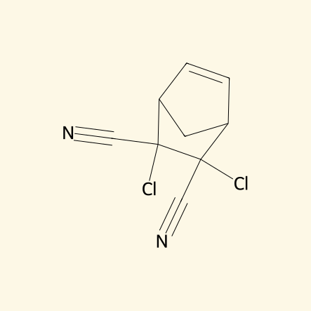 N#CC1(Cl)C2C=CC(C2)C1(Cl)C#N